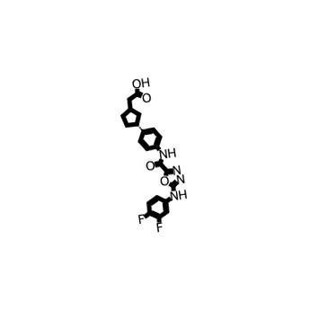 O=C(O)CC1CC[C@@H](c2ccc(NC(=O)c3nnc(Nc4ccc(F)c(F)c4)o3)cc2)C1